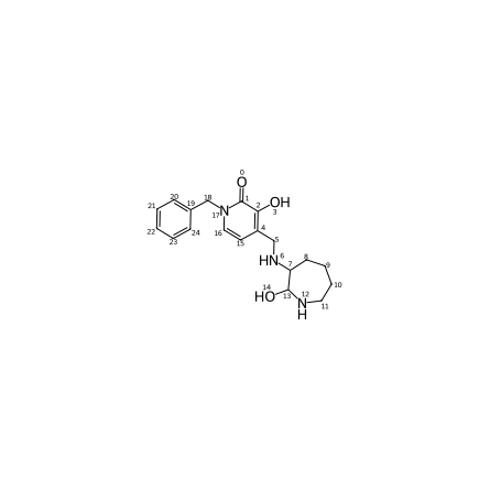 O=c1c(O)c(CNC2CCCCNC2O)ccn1Cc1ccccc1